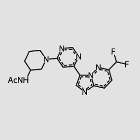 CC(=O)NC1CCCN(c2cc(-c3cnc4ccc(C(F)F)nn34)ncn2)C1